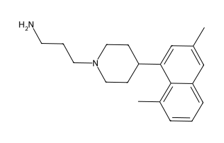 Cc1cc(C2CCN(CCCN)CC2)c2c(C)cccc2c1